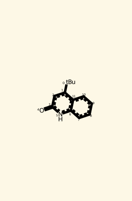 CC(C)(C)c1cc(=O)[nH]c2ccccc12